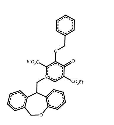 CCOC(=O)c1cn(CC2c3ccccc3COc3ccccc32)c(C(=O)OCC)c(OCc2ccccc2)c1=O